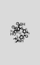 CC(=N)N(C)C[C@H]1CCN(C(=O)[C@@H]2C[C@H](SC3=C(C(=O)O)N4C(=O)[C@H]([C@@H](C)O)[C@H]4[C@H]3C)CN2C)C1